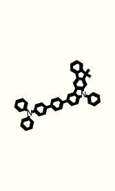 CC1(C)c2ccccc2-c2cc3c4cc(-c5ccc(-c6ccc(N(c7ccccc7)c7ccccc7)cc6)cc5)ccc4n(-c4ccccc4)c3cc21